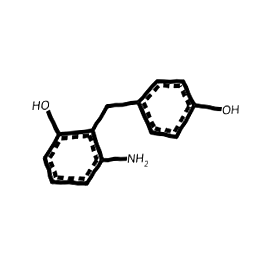 Nc1cccc(O)c1Cc1ccc(O)cc1